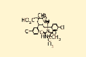 CC1(CC(=O)O)CC(c2cccc(Cl)c2)C(CC(c2ccc(Cl)cc2)(C2CC2)N2C(=O)NC(C)(C)C2=O)NC1=O